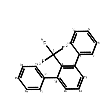 FC(F)(F)c1c(-c2ccccc2)[c]ccc1-c1ccccc1